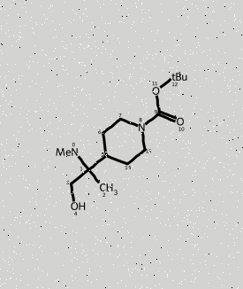 CNC(C)(CO)C1CCN(C(=O)OC(C)(C)C)CC1